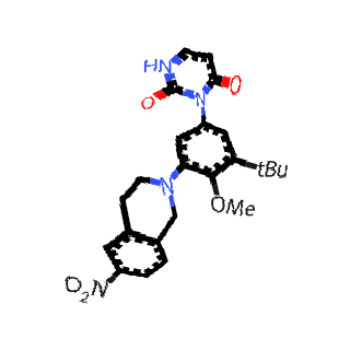 COc1c(N2CCc3cc([N+](=O)[O-])ccc3C2)cc(-n2c(=O)cc[nH]c2=O)cc1C(C)(C)C